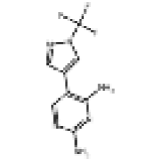 Nc1ncc(-c2cnn(C(F)(F)F)c2)c(N)n1